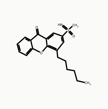 CCCCCCc1cc(S(C)(=N)=O)cc2c(=O)c3ccccc3oc12